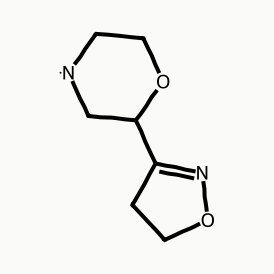 C1COC(C2=NOCC2)C[N]1